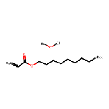 C=CC(=O)OCCCCCCCCCCCCCCCCCC.CCOCC